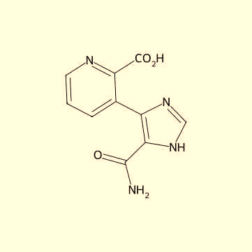 NC(=O)c1[nH]cnc1-c1cccnc1C(=O)O